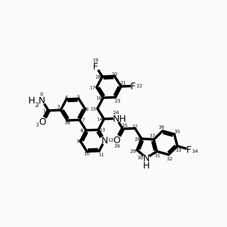 NC(=O)c1cccc(-c2cccnc2C(Cc2cc(F)cc(F)c2)NC(=O)Cc2c[nH]c3cc(F)ccc23)c1